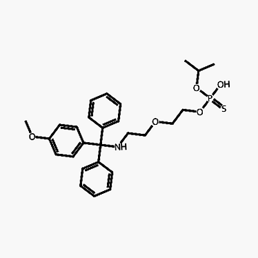 COc1ccc(C(NCCOCCOP(O)(=S)OC(C)C)(c2ccccc2)c2ccccc2)cc1